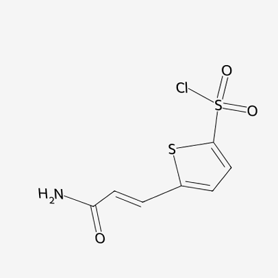 NC(=O)/C=C/c1ccc(S(=O)(=O)Cl)s1